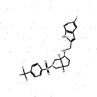 O=S(=O)(c1ccc(C(F)(F)F)cc1)N1C[C@H]2CC[C@H](NCc3cc4cc(F)ccc4[nH]3)[C@H]2C1